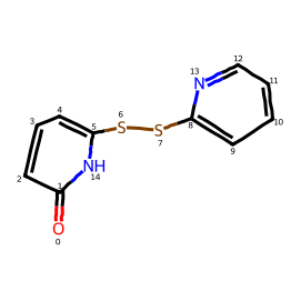 O=c1cccc(SSc2ccccn2)[nH]1